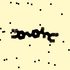 Cc1cc(/N=N/c2ccc(C(=O)NCC(C=O)CO)cc2)ccc1O